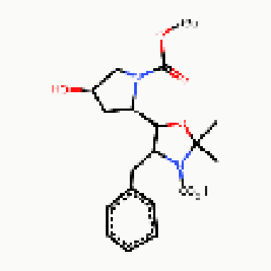 CC(C)(C)OC(=O)N1C[C@H](O)C[C@@H]1C1OC(C)(C)N(C(=O)O)C1Cc1ccccc1